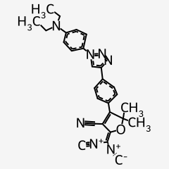 [C-]#[N+]C([N+]#[C-])=C1OC(C)(C)C(c2ccc(-c3cn(-c4ccc(N(CC)CC)cc4)nn3)cc2)=C1C#N